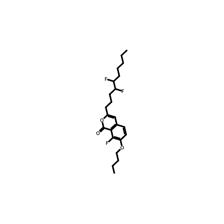 CCCCCC(F)C(F)CCCc1cc2ccc(OCCCC)c(F)c2c(=O)o1